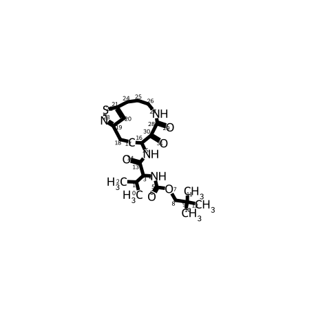 CC(C)C(NC(=O)OCC(C)(C)C)C(=O)NC1CCc2cc(sn2)CCCNC(=O)C1=O